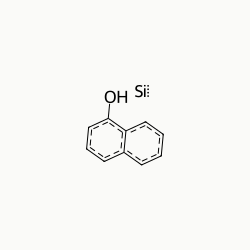 Oc1cccc2ccccc12.[Si]